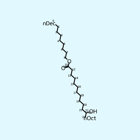 CCCCCCCCCCCCCCCCCCOC(=O)CCCCCCCCCCC(O)CCCCCCCC